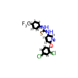 FC(F)(F)c1ccc(NC(=S)Nc2ccc(Oc3ccc(Cl)cc3Cl)nc2)cc1